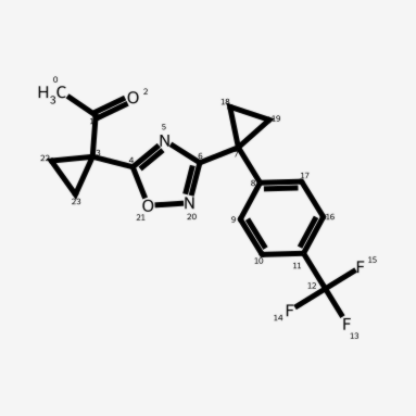 CC(=O)C1(c2nc(C3(c4ccc(C(F)(F)F)cc4)CC3)no2)CC1